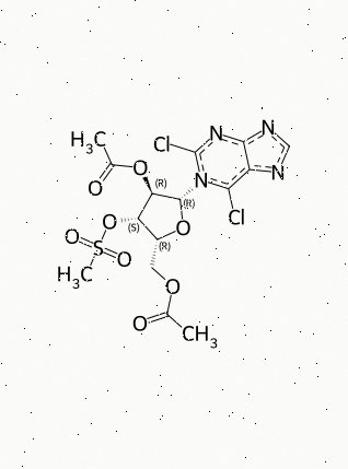 CC(=O)OC[C@H]1O[C@@H](n2c(Cl)nc3ncnc-3c2Cl)[C@H](OC(C)=O)[C@H]1OS(C)(=O)=O